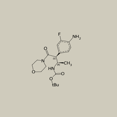 C[C@@H](NC(=O)OC(C)(C)C)[C@@H](C(=O)N1CCOCC1)c1ccc(N)c(F)c1